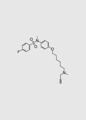 C#CCN(C)CCCCCCOc1ccc(N(C)S(=O)(=O)c2ccc(F)cc2)cc1